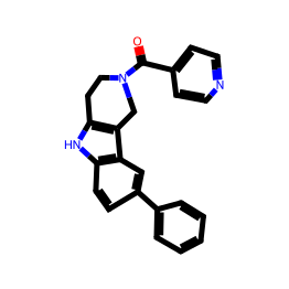 O=C(c1ccncc1)N1CCc2[nH]c3ccc(-c4ccccc4)cc3c2C1